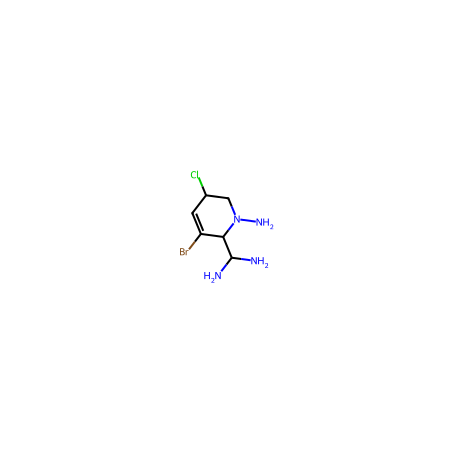 NC(N)C1C(Br)=CC(Cl)CN1N